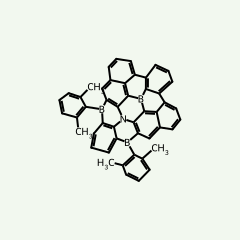 Cc1cccc(C)c1B1c2cccc3c2N2c4c1cc1cccc5c1c4B1c4c-5cccc4-c4cccc5cc(c2c1c45)B3c1c(C)cccc1C